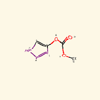 CCOC(=O)Oc1c[pH]pp1